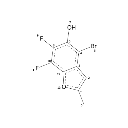 Cc1cc2c(Br)c(O)c(F)c(F)c2o1